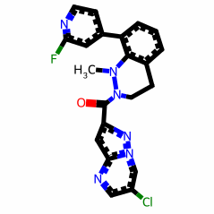 CN1c2c(cccc2-c2ccnc(F)c2)CCN1C(=O)c1cc2ncc(Cl)cn2n1